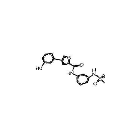 CS(=O)(=O)Nc1cccc(NC(=O)c2cc(-c3cccc(O)c3)cs2)c1